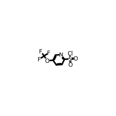 O=S(=O)(Cl)c1ccc(OC(F)(F)F)cn1